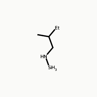 CCC(C)CN[SiH3]